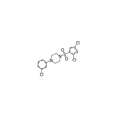 O=S(=O)(c1cc(Cl)sc1Cl)N1CCN(c2cccc(Cl)c2)CC1